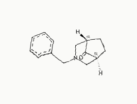 O=C1[C@H]2CC[C@H]1CN(Cc1ccccc1)C2